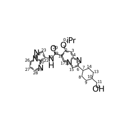 CC(C)Oc1cc2nc(C3CCC(CO)CC3)cn2cc1C(=O)Nc1cnn2cccnc12